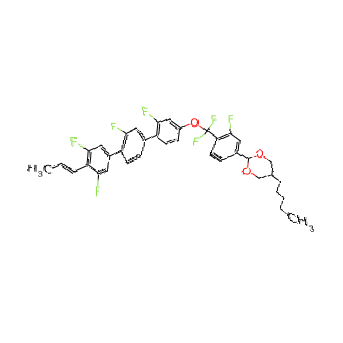 C/C=C/c1c(F)cc(-c2ccc(-c3ccc(OC(F)(F)c4ccc(C5OCC(CCCCC)CO5)cc4F)cc3F)cc2F)cc1F